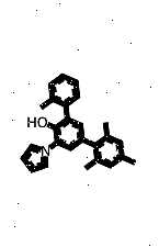 Cc1cc(C)c(-c2cc(-c3ccccc3C)c(O)c(-n3cccc3)c2)c(C)c1